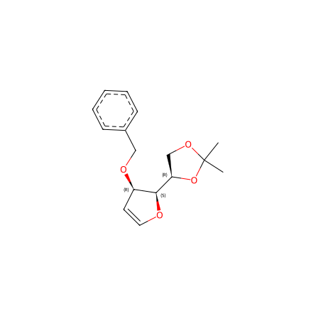 CC1(C)OC[C@H]([C@H]2OC=C[C@H]2OCc2ccccc2)O1